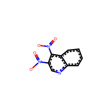 O=[N+]([O-])c1cnc2ccccc2c1[N+](=O)[O-]